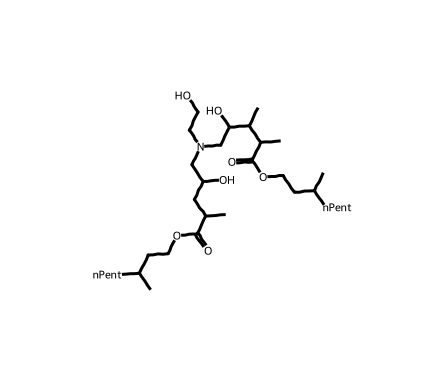 CCCCCC(C)CCOC(=O)C(C)CC(O)CN(CCO)CC(O)C(C)C(C)C(=O)OCCC(C)CCCCC